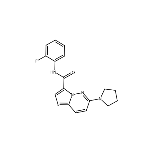 O=C(Nc1ccccc1F)c1cnc2ccc(N3CCCC3)nn12